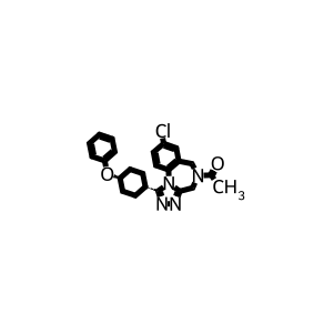 CC(=O)N1Cc2cc(Cl)ccc2-n2c(nnc2[C@H]2CC[C@H](Oc3ccccc3)CC2)C1